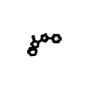 O=C1OC2(CN3CCC2CC3)CN1c1csc(-c2ccncc2)c1